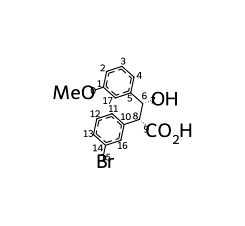 COc1cccc([C@H](O)[C@H](C(=O)O)c2cccc(Br)c2)c1